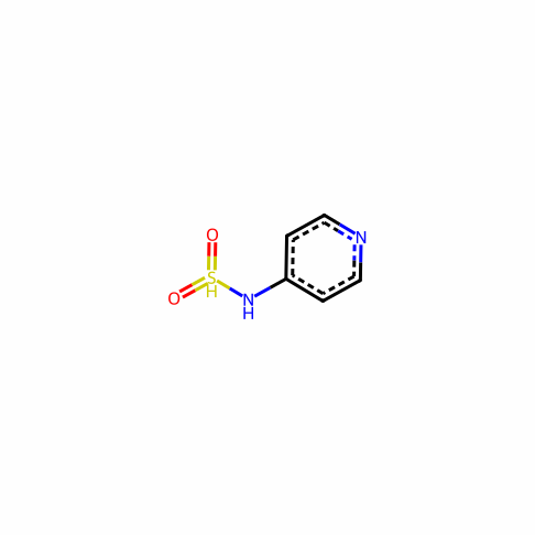 O=[SH](=O)Nc1ccncc1